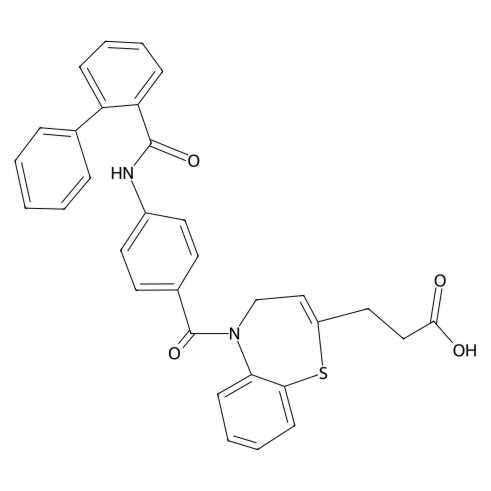 O=C(O)CCC1=CCN(C(=O)c2ccc(NC(=O)c3ccccc3-c3ccccc3)cc2)c2ccccc2S1